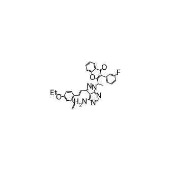 C=Cc1cc(OCC)ccc1/C=C/c1nn(C(C)c2oc3ccccc3c(=O)c2-c2cccc(F)c2)c2ncnc(N)c12